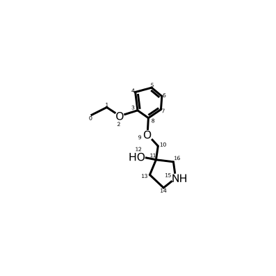 CCOc1ccccc1OCC1(O)CCNC1